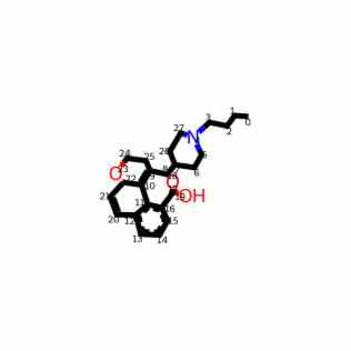 CCCCN1CCC(CC2=C3c4c(cccc4C(=O)O)C=CC3OCC2)CC1